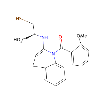 COc1ccccc1C(=O)N1C(N[C@H](CS)C(=O)O)=CCc2ccccc21